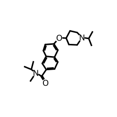 CC(C)N1CCC(Oc2ccc3cc(C(=O)N(C)C(C)C)ccc3c2)CC1